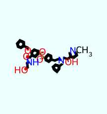 Cc1ccc([C@@H](O)CN(CCc2ccc(S(=O)(=O)c3ccc(OCc4ccccc4)c(C(=O)NCCO)c3)cc2)Cc2ccccc2)cn1